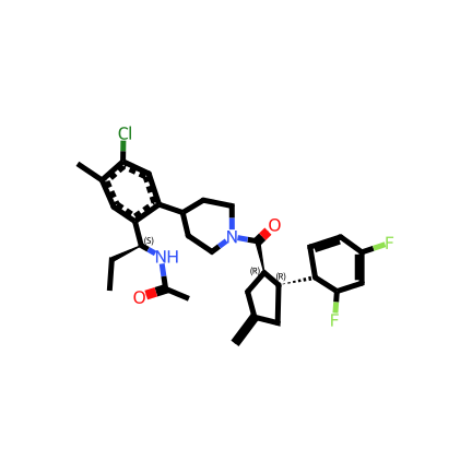 C=C1C[C@@H](C(=O)N2CCC(c3cc(Cl)c(C)cc3[C@H](CC)NC(C)=O)CC2)[C@H](C2C=CC(F)=CC2F)C1